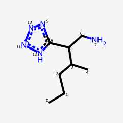 CCCC(C)C(CN)c1nnn[nH]1